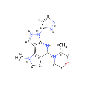 C[C@@H]1COCCN1C1N=c2c(cnn2-c2cc[nH]n2)=C2C1CCN2C